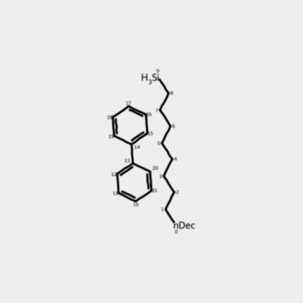 CCCCCCCCCCCCCCCCCC[SiH3].c1ccc(-c2ccccc2)cc1